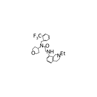 CCN1CCc2cccc(NCC(=O)N(Cc3ccccc3C(F)(F)F)C3CCOCC3)c2C1